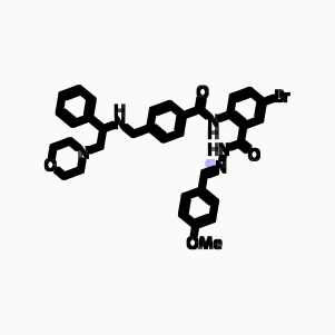 COc1ccc(/C=N/NC(=O)c2cc(Br)ccc2NC(=O)c2ccc(CNC(CN3CCOCC3)c3ccccc3)cc2)cc1